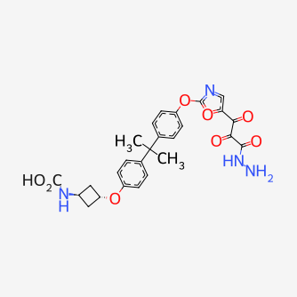 CC(C)(c1ccc(Oc2ncc(C(=O)C(=O)C(=O)NN)o2)cc1)c1ccc(O[C@H]2C[C@H](NC(=O)O)C2)cc1